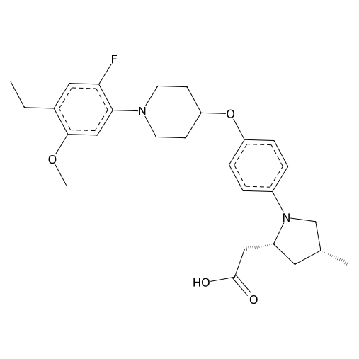 CCc1cc(F)c(N2CCC(Oc3ccc(N4C[C@H](C)C[C@@H]4CC(=O)O)cc3)CC2)cc1OC